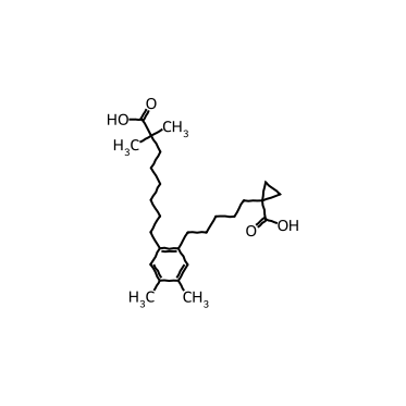 Cc1cc(CCCCCCC(C)(C)C(=O)O)c(CCCCCC2(C(=O)O)CC2)cc1C